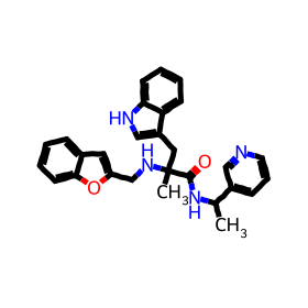 CC(NC(=O)C(C)(Cc1c[nH]c2ccccc12)NCc1cc2ccccc2o1)c1cccnc1